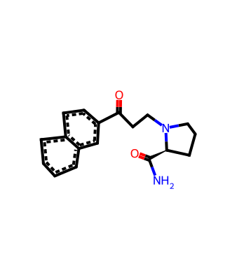 NC(=O)[C@@H]1CCCN1CCC(=O)c1ccc2ccccc2c1